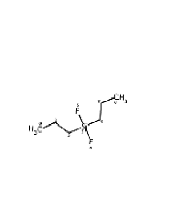 CCC[Si](F)(F)CCC